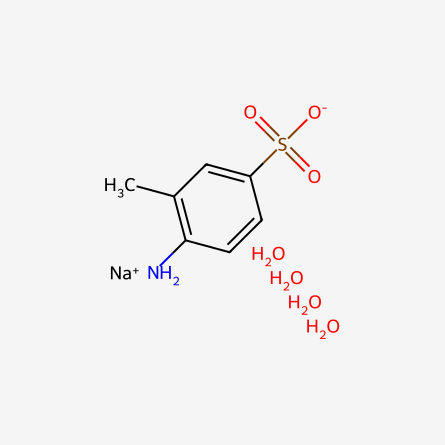 Cc1cc(S(=O)(=O)[O-])ccc1N.O.O.O.O.[Na+]